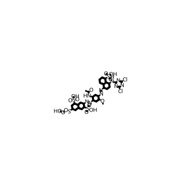 COc1cc(N=Nc2cc3c(S(=O)(=O)O)cc(SOOO)cc3cc2S(=O)(=O)O)c(NC(C)=O)cc1N=Nc1ccc(Nc2nc(Cl)nc(Cl)n2)c2c(S(=O)(=O)O)cccc12